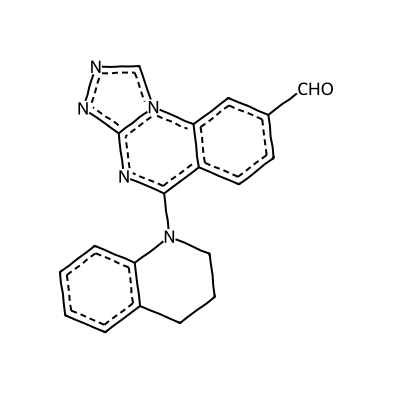 O=Cc1ccc2c(N3CCCc4ccccc43)nc3nncn3c2c1